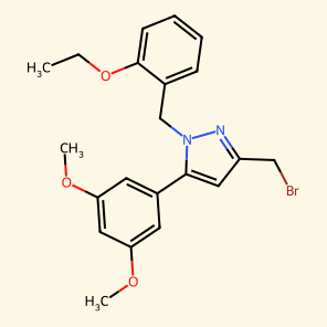 CCOc1ccccc1Cn1nc(CBr)cc1-c1cc(OC)cc(OC)c1